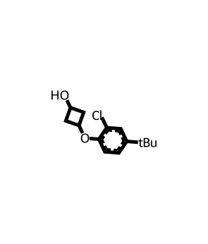 CC(C)(C)c1ccc(OC2CC(O)C2)c(Cl)c1